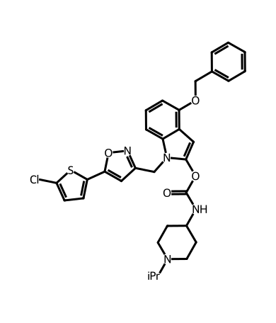 CC(C)N1CCC(NC(=O)Oc2cc3c(OCc4ccccc4)cccc3n2Cc2cc(-c3ccc(Cl)s3)on2)CC1